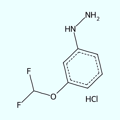 Cl.NNc1cccc(OC(F)F)c1